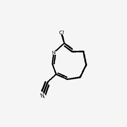 N#CC1=C/CCC/C=C(Cl)/N=C\1